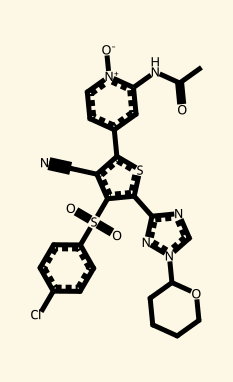 CC(=O)Nc1cc(-c2sc(-c3ncn(C4CCCCO4)n3)c(S(=O)(=O)c3ccc(Cl)cc3)c2C#N)cc[n+]1[O-]